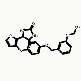 CCOc1cccc(COc2ccc(Sc3ccoc3C3NC(=O)NC3=O)cc2)c1